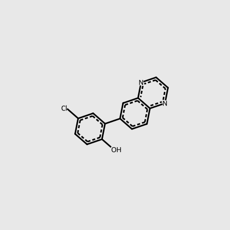 Oc1ccc(Cl)cc1-c1ccc2nccnc2c1